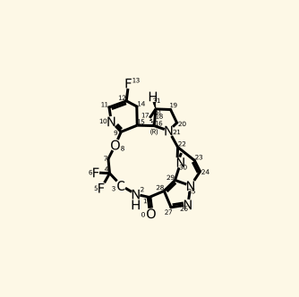 O=C1NCC(F)(F)COC2=NC=C(F)CC2[C@@]23C[C@@H]2CCN3c2ccn3ncc1c3n2